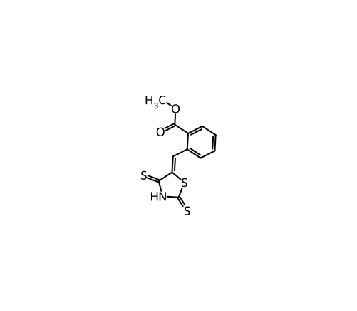 COC(=O)c1ccccc1C=C1SC(=S)NC1=S